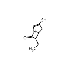 CC[C@H]1C(=O)N2C=C(S)CC12